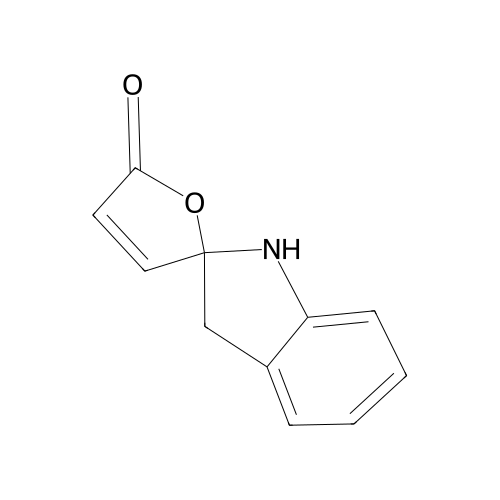 O=C1C=CC2(Cc3ccccc3N2)O1